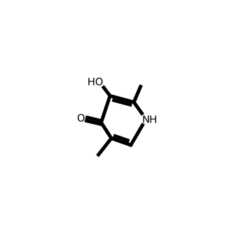 Cc1[nH]cc(C)c(=O)c1O